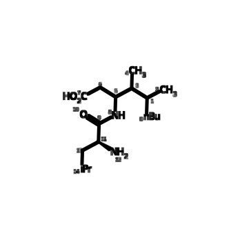 CCCCC(C)C(C)C(CC(=O)O)NC(=O)[C@@H](N)CC(C)C